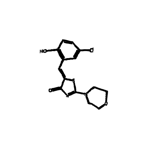 O=C1N=C(N2CCOCC2)SC1=Cc1cc(Cl)ccc1O